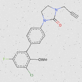 C#CCN1CCN(c2ccc(-c3cc(F)cc(Cl)c3OC)cc2)C1=O